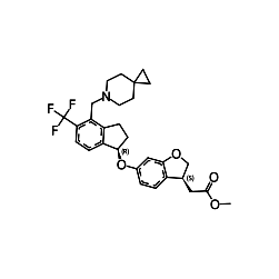 COC(=O)C[C@@H]1COc2cc(O[C@@H]3CCc4c3ccc(C(F)(F)F)c4CN3CCC4(CC3)CC4)ccc21